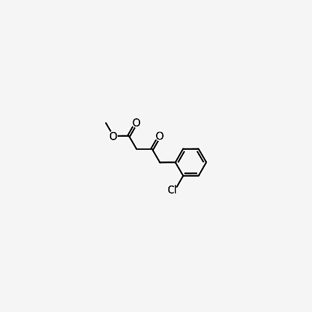 COC(=O)CC(=O)Cc1ccccc1Cl